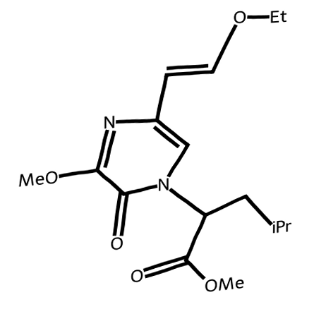 CCOC=Cc1cn(C(CC(C)C)C(=O)OC)c(=O)c(OC)n1